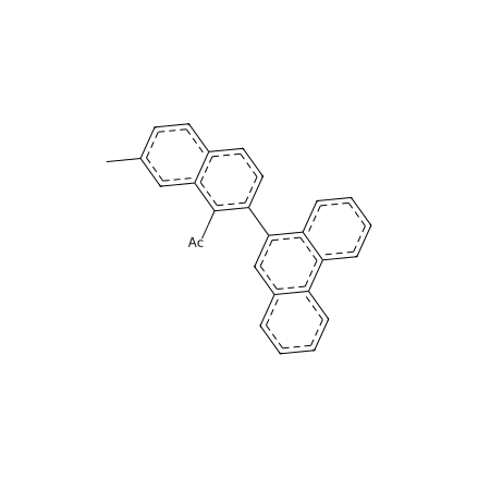 CC(=O)c1c(-c2cc3ccccc3c3ccccc23)ccc2ccc(C)cc12